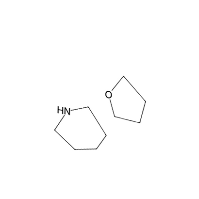 C1CCNCC1.C1CCOC1